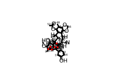 C=CCN1[C@@H]2c3c(cc(C)c(OC)c3O)C[C@H]1[C@H](C#N)N1C2[C@@H]2SC[C@]3(NCCc4c3[nH]c3ccc(O)cc43)C(=O)OC[C@H]1c1c3c(c(C)c(OC(C)=O)c12)OCO3